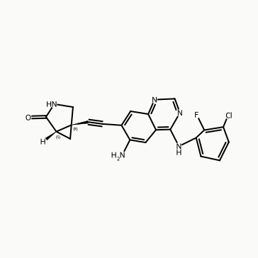 Nc1cc2c(Nc3cccc(Cl)c3F)ncnc2cc1C#C[C@]12CNC(=O)[C@H]1C2